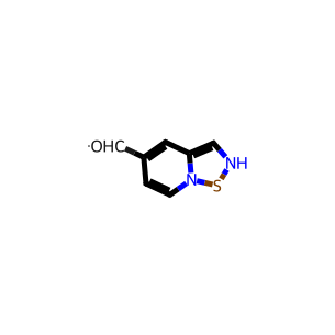 O=[C]C1=CC2=CNSN2C=C1